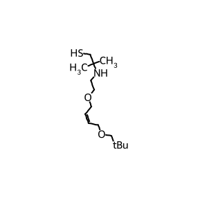 CC(C)(C)COC/C=C\COCCNC(C)(C)CS